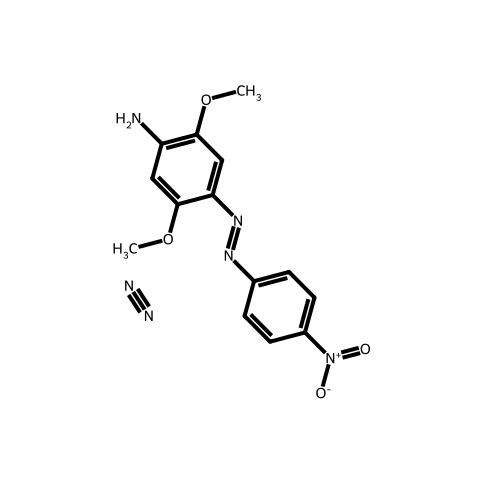 COc1cc(N=Nc2ccc([N+](=O)[O-])cc2)c(OC)cc1N.N#N